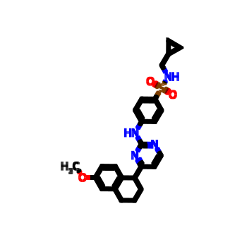 COc1ccc2c(c1)CCCC2c1ccnc(Nc2ccc(S(=O)(=O)NCC3CC3)cc2)n1